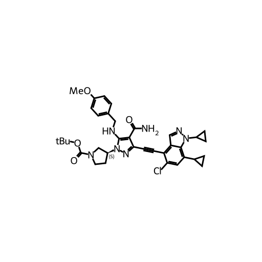 COc1ccc(CNc2c(C(N)=O)c(C#Cc3c(Cl)cc(C4CC4)c4c3cnn4C3CC3)nn2[C@H]2CCN(C(=O)OC(C)(C)C)C2)cc1